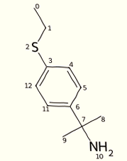 CCSc1ccc(C(C)(C)N)cc1